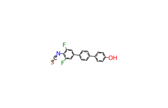 Oc1ccc(-c2ccc(-c3cc(F)c(N=C=S)c(F)c3)cc2)cc1